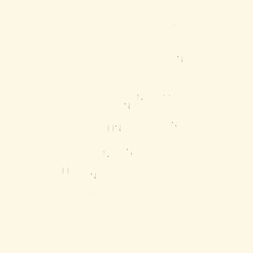 Cn1c(=O)c(-c2c(Cl)cccc2Cl)cc2cnc(Nc3cc(C#N)c(OCCN4CCS(=O)(=O)CC4)nn3)nc21